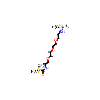 C[SH](C)NCCOCCOCCOCCNC(=O)[SH](C)C